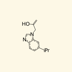 C=C(O)Cn1cnc2ccc(C(C)C)cc21